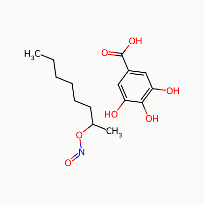 CCCCCCC(C)ON=O.O=C(O)c1cc(O)c(O)c(O)c1